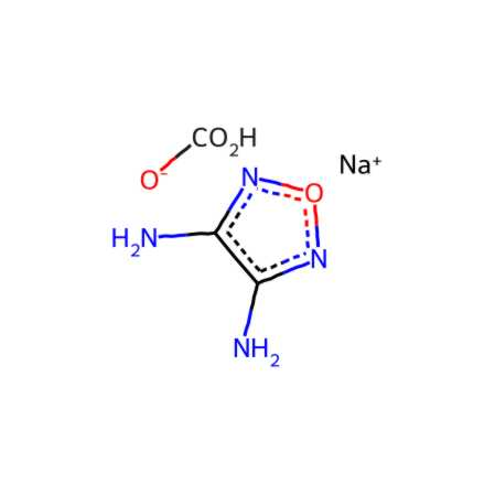 Nc1nonc1N.O=C([O-])O.[Na+]